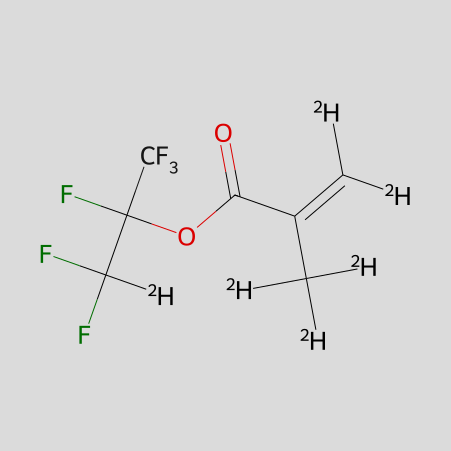 [2H]C([2H])=C(C(=O)OC(F)(C([2H])(F)F)C(F)(F)F)C([2H])([2H])[2H]